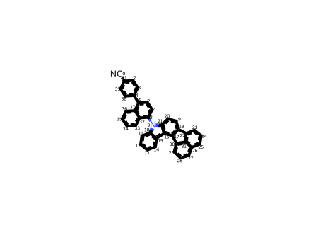 N#Cc1ccc(-c2ccc(-n3c4ccccc4c4c5c(ccc43)-c3cccc4cccc-5c34)c3ccccc23)cc1